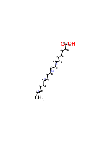 C/C=C/CC/C=C/C/C=C/C/C=C/CCCCC(=O)O